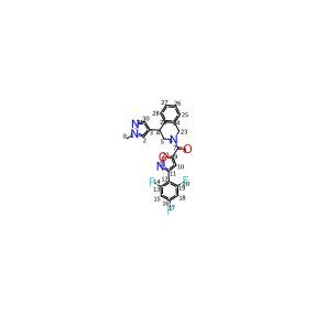 Cn1cc(C2CN(C(=O)c3cc(-c4c(F)cc(F)cc4F)no3)Cc3ccccc32)cn1